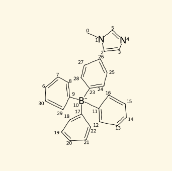 Cn1ccnc1.c1ccc([B-](c2ccccc2)(c2ccccc2)c2ccccc2)cc1